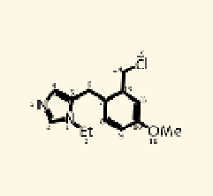 CCn1cncc1CC1C=CC(OC)=CC1CCl